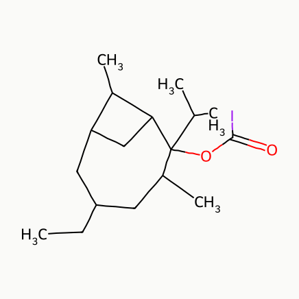 CCC1CC2CC(C2C)C(OC(=O)I)(C(C)C)C(C)C1